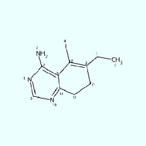 CCC1=C(I)c2c(N)ncnc2CC1